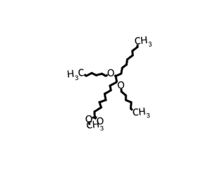 CCCCCCCCC(OCCCCCC)C(CCCCCCCC(=O)OC)OCCCCCC